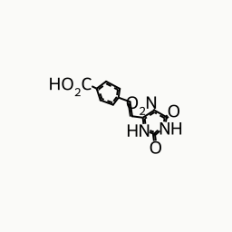 O=C(O)c1ccc(C=Cc2[nH]c(=O)[nH]c(=O)c2[N+](=O)[O-])cc1